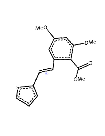 COC(=O)c1c(/C=C/c2cccs2)cc(OC)cc1OC